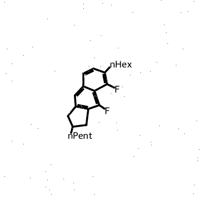 CCCCCCc1ccc2cc3c(c(F)c2c1F)CC(CCCCC)C3